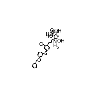 NC(CO)(CCCc1ccc(Sc2cccc(OCc3ccccc3)c2)cc1Cl)C(O)C(F)(F)P(=O)(O)O